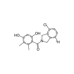 [2H]c1ccc(Cl)c2c1CN(C(=O)c1c(O)cc(O)c(C)c1C)C2